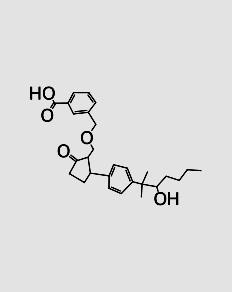 CCCCC(O)C(C)(C)c1ccc(C2CCC(=O)C2COCc2cccc(C(=O)O)c2)cc1